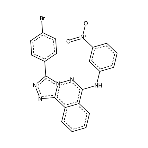 O=[N+]([O-])c1cccc(Nc2nn3c(-c4ccc(Br)cc4)nnc3c3ccccc23)c1